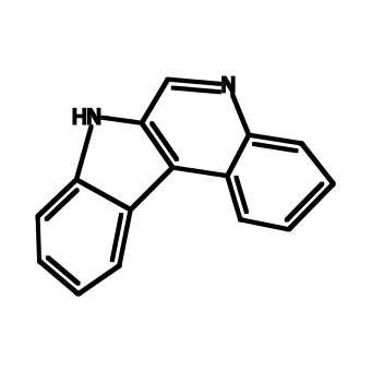 c1ccc2c(c1)ncc1[nH]c3ccccc3c12